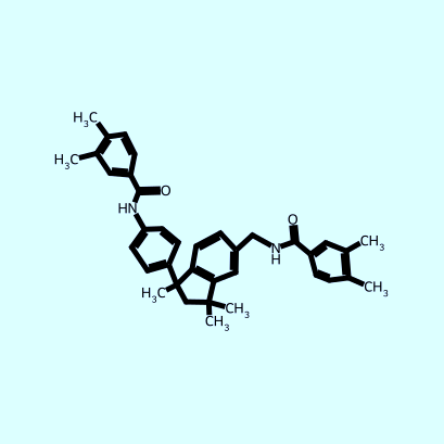 Cc1ccc(C(=O)NCc2ccc3c(c2)C(C)(C)CC3(C)c2ccc(NC(=O)c3ccc(C)c(C)c3)cc2)cc1C